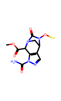 COC(=O)C1c2c(cnn2C(N)=O)C2CN1C(=O)N2OS